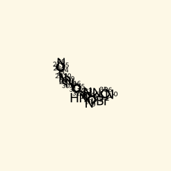 CN1CCC(Nc2c(Br)cnc3[nH]c(-c4ccc(N5CCN(Cc6ccncc6)CC5)cc4)nc23)CC1